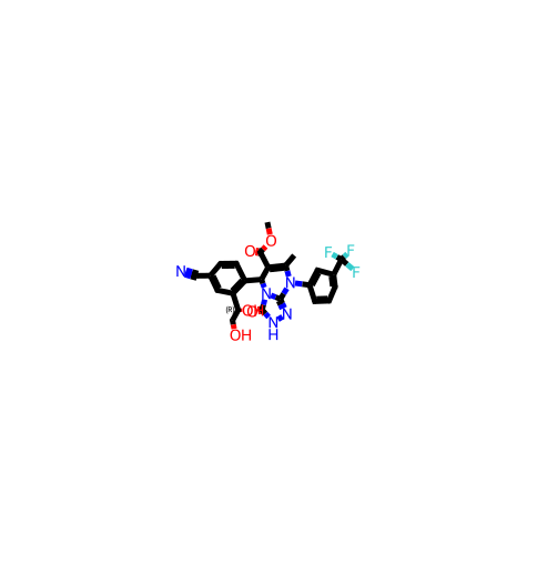 COC(=O)C1=C(C)N(c2cccc(C(F)(F)F)c2)c2n[nH]c(=O)n2C1c1ccc(C#N)cc1[C@@H](O)CO